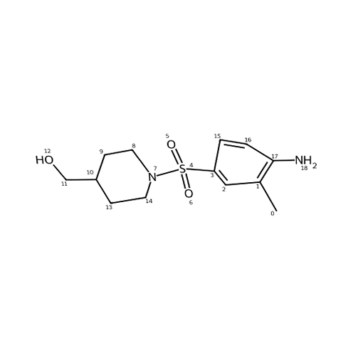 Cc1cc(S(=O)(=O)N2CCC(CO)CC2)ccc1N